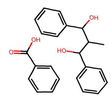 CC(C(O)c1ccccc1)C(O)c1ccccc1.O=C(O)c1ccccc1